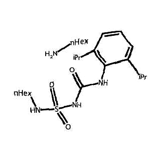 CCCCCCN.CCCCCCNS(=O)(=O)NC(=O)Nc1c(C(C)C)cccc1C(C)C